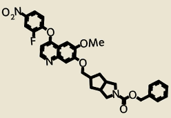 COc1cc2c(Oc3ccc([N+](=O)[O-])cc3F)ccnc2cc1OCC1CC2CN(C(=O)OCc3ccccc3)CC2C1